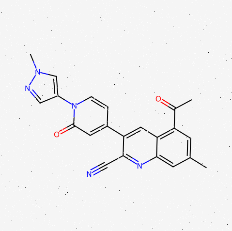 CC(=O)c1cc(C)cc2nc(C#N)c(-c3ccn(-c4cnn(C)c4)c(=O)c3)cc12